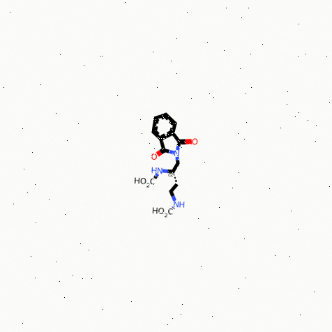 O=C(O)NCC[C@@H](CN1C(=O)c2ccccc2C1=O)NC(=O)O